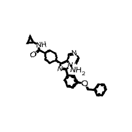 N[N+]12C=CN=CC1=C(C1CCC(C(=O)NC3CC3)CC1)N=C2c1cccc(OCc2ccccc2)c1